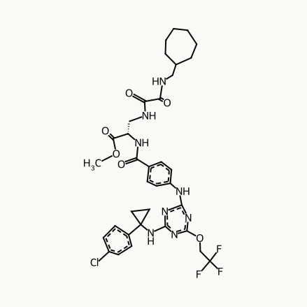 COC(=O)[C@H](CNC(=O)C(=O)NCC1CCCCCC1)NC(=O)c1ccc(Nc2nc(NC3(c4ccc(Cl)cc4)CC3)nc(OCC(F)(F)F)n2)cc1